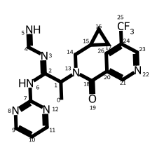 CC(/C(=N/C=N)Nc1ncccn1)N(CC1CC1)C(=O)c1cncc(C(F)(F)F)c1